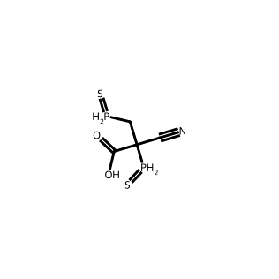 N#CC(C[PH2]=S)([PH2]=S)C(=O)O